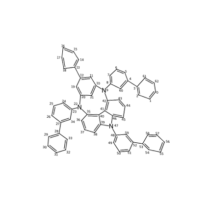 c1ccc(-c2cccc(N3c4cc(-c5ccccc5)cc(c4)N(c4cccc(-c5ccccc5)c4)c4cccc5c4c4c3cccc4n5-c3cccc(-c4ccccc4)c3)c2)cc1